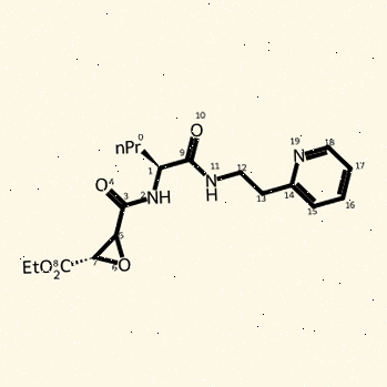 CCC[C@H](NC(=O)C1O[C@@H]1C(=O)OCC)C(=O)NCCc1ccccn1